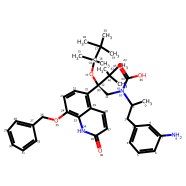 CC(Cc1cccc(N)c1)N(C[C@](O[Si](C)(C)C(C)(C)C)(c1ccc(OCc2ccccc2)c2[nH]c(=O)ccc12)C(C)(C)C)C(=O)O